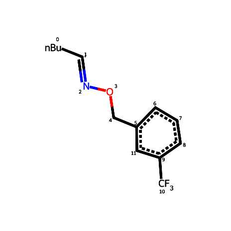 CCCC/[C]=N/OCc1cccc(C(F)(F)F)c1